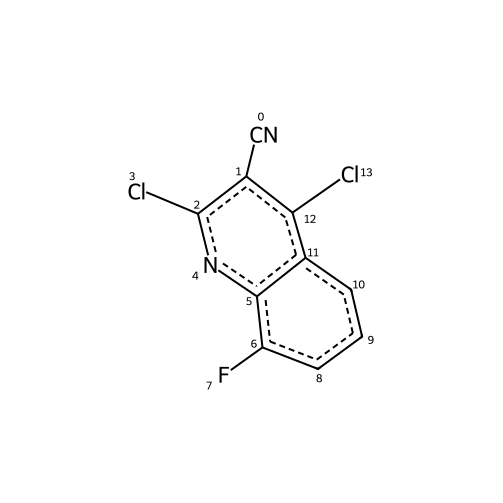 N#Cc1c(Cl)nc2c(F)cccc2c1Cl